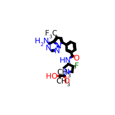 CC(C)(O)C(=O)N1C[C@H](F)[C@H](NC(=O)c2cccc(-c3cc(C(F)(F)F)c4c(N)ncnn34)c2)C1